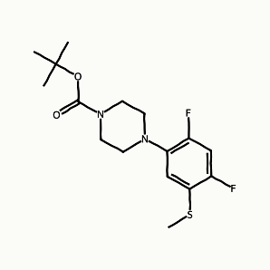 CSc1cc(N2CCN(C(=O)OC(C)(C)C)CC2)c(F)cc1F